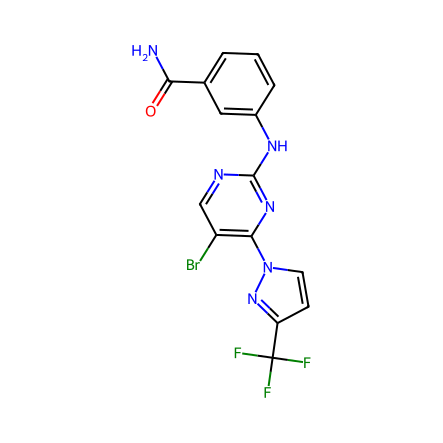 NC(=O)c1cccc(Nc2ncc(Br)c(-n3ccc(C(F)(F)F)n3)n2)c1